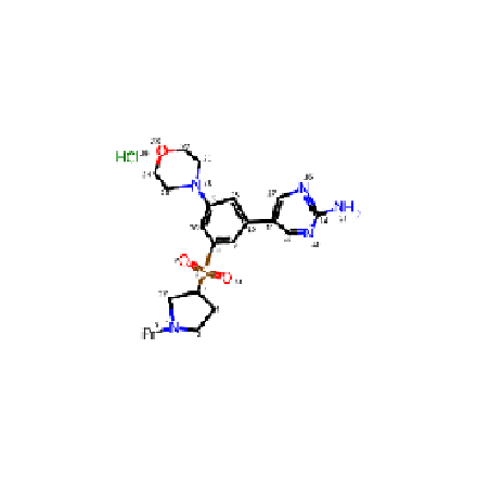 CC(C)N1CCC(S(=O)(=O)c2cc(-c3cnc(N)nc3)cc(N3CCOCC3)c2)C1.Cl